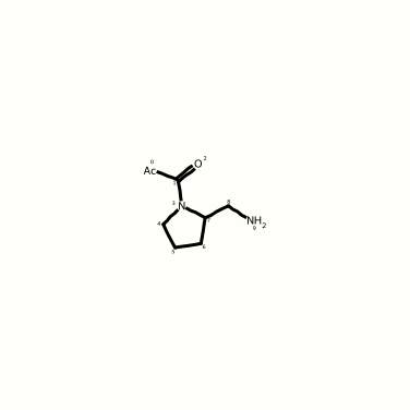 CC(=O)C(=O)N1CCCC1CN